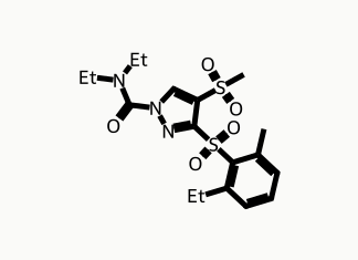 CCc1cccc(C)c1S(=O)(=O)c1nn(C(=O)N(CC)CC)cc1S(C)(=O)=O